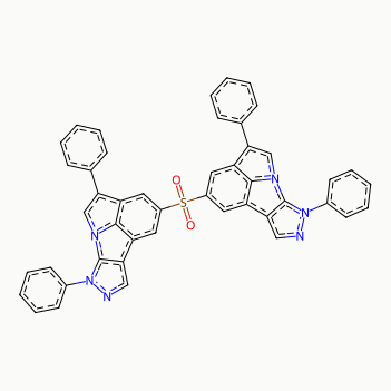 O=S(=O)(c1cc2c(-c3ccccc3)cn3c2c(c1)c1cnn(-c2ccccc2)c13)c1cc2c(-c3ccccc3)cn3c2c(c1)c1cnn(-c2ccccc2)c13